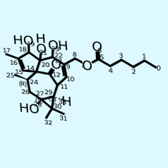 CCCCCC(=O)OCC1=CC2C(=O)C3(C=C(C)C(O)C3(O)C1O)[C@H](C)C[C@]1(O)[C@@H]2C1(C)C